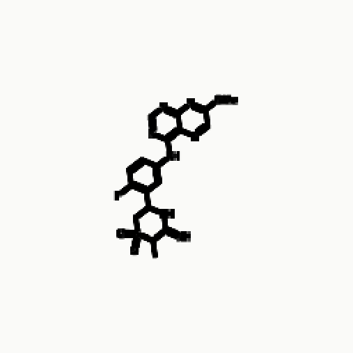 COc1cnc2c(Nc3ccc(F)c(C4CS(=O)(=O)C(C)C(=N)N4)c3)ncnc2n1